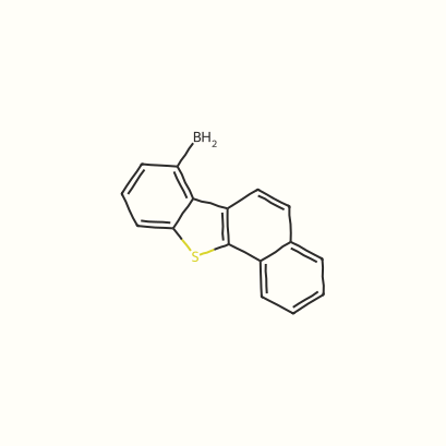 Bc1cccc2sc3c4ccccc4ccc3c12